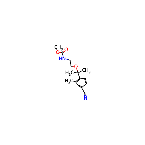 COC(=O)NCCOC(C)(C)c1ccc(C#N)cc1C